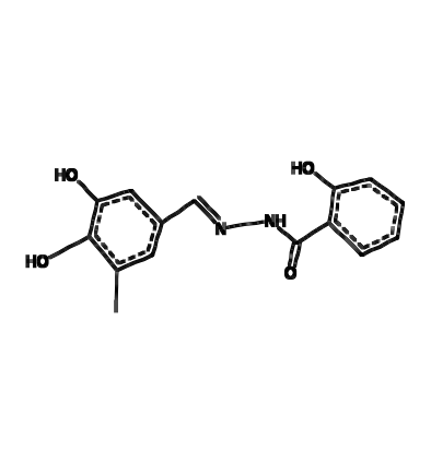 O=C(N/N=C/c1cc(O)c(O)c(I)c1)c1ccccc1O